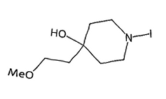 COCCC1(O)CCN(I)CC1